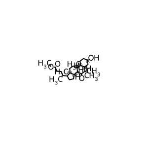 COC(=O)CCC(C)C1CC[C@H]2[C@@H]3C(=O)C(C)(C)[C@@H]4C[C@H](O)CC[C@]4(C)[C@H]3CC[C@]12C